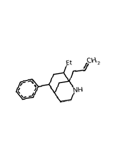 C=CCC12CC(CCN1)C(c1ccccc1)CC2CC